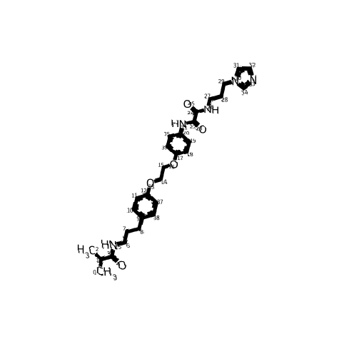 CC(C)C(=O)NCCCc1ccc(OCCOc2ccc(NC(=O)C(=O)NCCCn3ccnc3)cc2)cc1